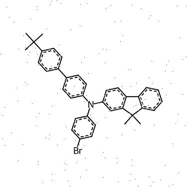 CC(C)(C)c1ccc(-c2ccc(N(c3ccc(Br)cc3)c3ccc4c(c3)C(C)(C)c3ccccc3-4)cc2)cc1